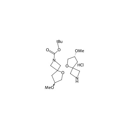 CO[C@@H]1COC2(C1)CN(C(=O)OC(C)(C)C)C2.CO[C@H]1COC2(CNC2)C1.Cl